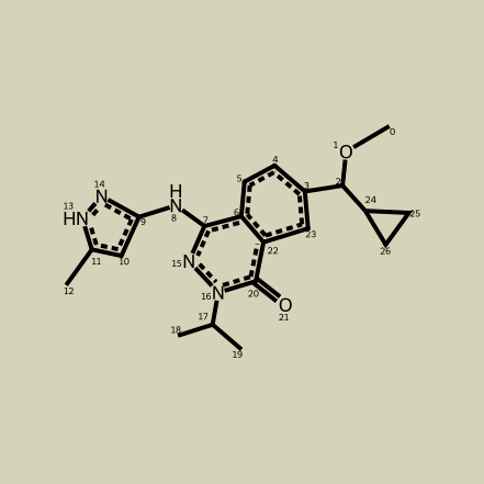 COC(c1ccc2c(Nc3cc(C)[nH]n3)nn(C(C)C)c(=O)c2c1)C1CC1